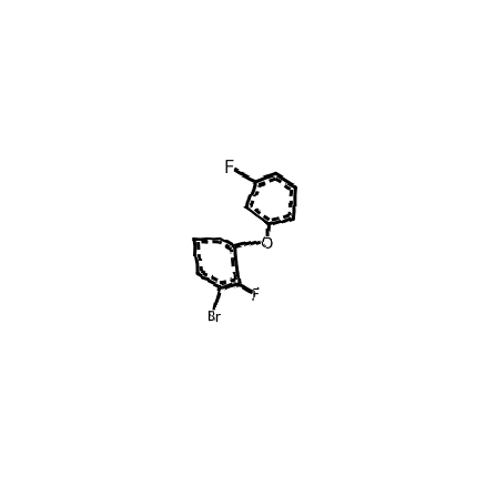 Fc1cccc(Oc2cccc(Br)c2F)c1